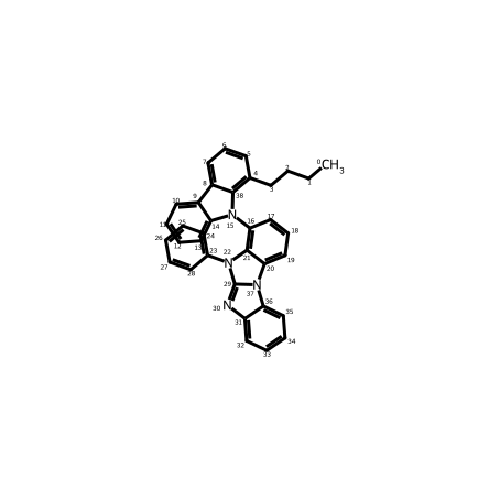 CCCCc1cccc2c3ccccc3n(-c3cccc4c3n(-c3ccccc3)c3nc5ccccc5n43)c12